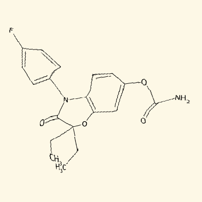 CCC1(CC)Oc2cc(OC(N)=O)ccc2N(c2ccc(F)cc2)C1=O